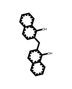 Oc1c(Cc2ccc3ccccc3c2O)ccc2ccccc12